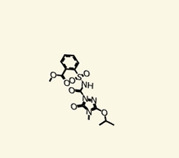 COC(=O)c1ccccc1S(=O)(=O)NC(=O)n1nc(OC(C)C)n(C)c1=O